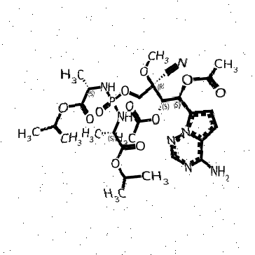 CO[C@](C#N)(COP(=O)(N[C@@H](C)C(=O)OC(C)C)N[C@@H](C)C(=O)OC(C)C)[C@@H](OC(C)=O)[C@@H](OC(C)=O)c1ccc2c(N)ncnn12